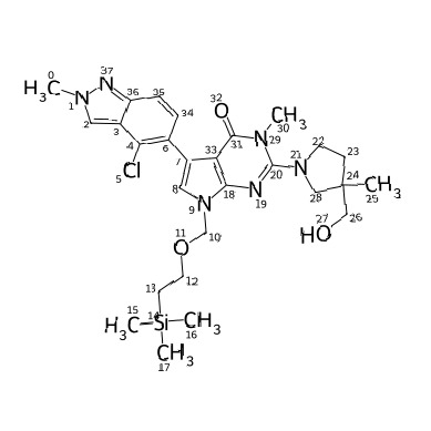 Cn1cc2c(Cl)c(-c3cn(COCC[Si](C)(C)C)c4nc(N5CCC(C)(CO)C5)n(C)c(=O)c34)ccc2n1